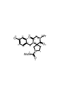 CNC(=O)N1CCC2(C1)C(=O)N(C(C)C)CC(=O)N2Cc1ccc(Cl)cc1